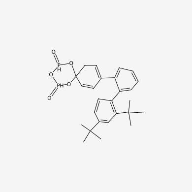 CC(C)(C)c1ccc(-c2ccccc2C2=CCC3(C=C2)O[PH](=O)O[PH](=O)O3)c(C(C)(C)C)c1